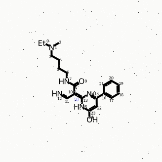 CCN(C)CCCCNC(=O)/C(C=N)=C1\N=C(c2ccccc2)C=C(O)N1